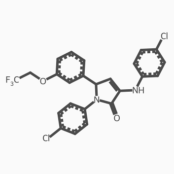 O=C1C(Nc2ccc(Cl)cc2)=CC(c2cccc(OCC(F)(F)F)c2)N1c1ccc(Cl)cc1